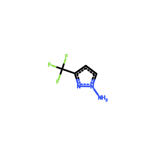 Nn1ccc(C(F)(F)F)n1